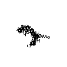 CO[C@@H]1C[C@H](C(=O)Nc2ccc(-n3cccc(NC(=O)C4CCCC4)c3=O)cc2F)N(C(=O)Nc2ccc(Cl)cn2)C1